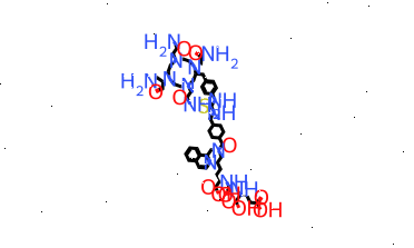 NCC(C=O)N1CCN(CC(N)=O)CCN(CC(N)=O)C(Cc2ccc(NC(=S)NCC3CCC(C(=O)N(CCCC[C@@H](NC(=O)N[C@H](CCC(=O)O)C(=O)O)C(=O)O)Cc4nccc5ccccc45)CC3)cc2)CN(CC(N)=O)CC1